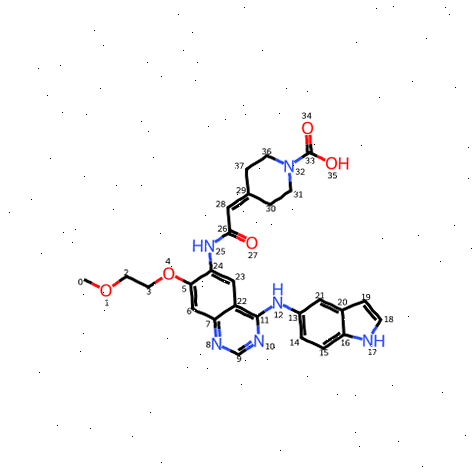 COCCOc1cc2ncnc(Nc3ccc4[nH]ccc4c3)c2cc1NC(=O)C=C1CCN(C(=O)O)CC1